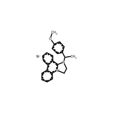 COc1ccc(C(C)N2CC[n+]3c2c2ccccc2c2ccccc23)cc1.[Br-]